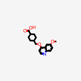 COc1ccc2nccc(OCC3CCC(C(=O)O)CC3)c2c1